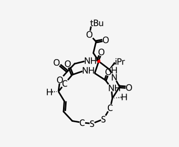 CC(C)[C@H]1NC(=O)[C@H]2CSSCC/C=C/[C@H](CC(=O)NC(CCC(=O)OC(C)(C)C)C(=O)N2)OC(=O)CNC1=O